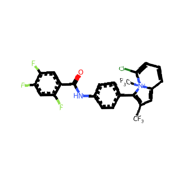 O=C(Nc1ccc(C2=C(C(F)(F)F)C=C3C=CC=C(Cl)[N+]32C(F)(F)F)cc1)c1cc(F)c(F)cc1F